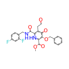 COC(=O)c1[nH]c(C(=O)NCc2ccc(F)cc2F)c(CC=O)c(=O)c1OCc1ccccc1